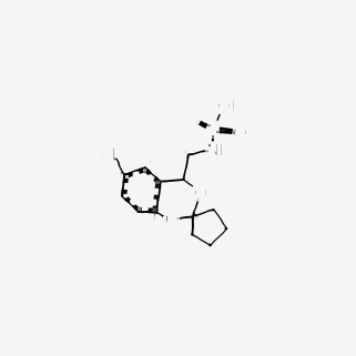 O=S(=O)(O)NCC1OC2(CCCC2)Oc2ccc(Cl)cc21